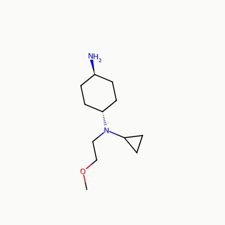 COCCN(C1CC1)[C@H]1CC[C@H](N)CC1